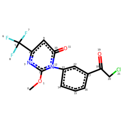 COc1nc(C(F)(F)F)cc(=O)n1-c1cccc(C(=O)CCl)c1